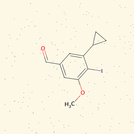 COc1cc(C=O)cc(C2CC2)c1I